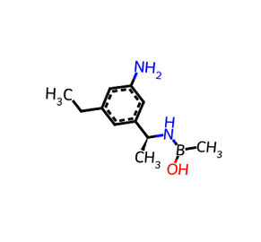 CCc1cc(N)cc([C@H](C)NB(C)O)c1